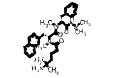 CN(C)NC(=O)[C@@H](Cc1ccccc1)N(C)C(=O)[C@@H](Cc1ccc2ccccc2c1)N(C)C(=O)/C=C/CC(C)(C)N